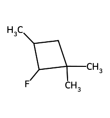 CC1CC(C)(C)C1F